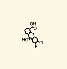 O=C(O)c1cccc(C(=O)O)c1Cc1ccc(F)c(Cl)c1